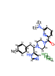 CCN(CC)c1cccc(C(=O)N2CCN(C(Cc3ccc(C#N)cc3)c3cnc[nH]3)CC2)n1.Cl.Cl.Cl